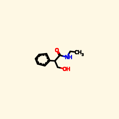 CCNC(=O)C(CO)c1ccccc1